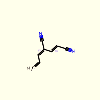 C=C/C=C(C#N)\C=C\C#N